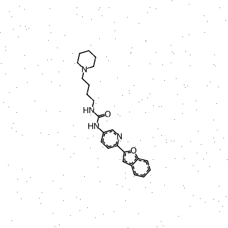 O=C(NCCCCN1CCCCC1)Nc1ccc(-c2cc3ccccc3o2)nc1